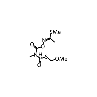 COCS[PH](=O)N(C)C(=O)ON=C(C)SC